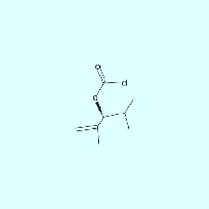 C=C(C)[C@@H](OC(=O)Cl)C(C)C